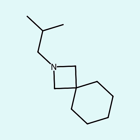 CC(C)CN1CC2(CCCCC2)C1